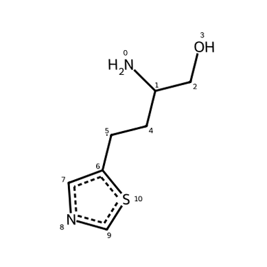 NC(CO)C[CH]c1cncs1